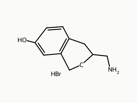 Br.NCC1CCc2cc(O)ccc2C1